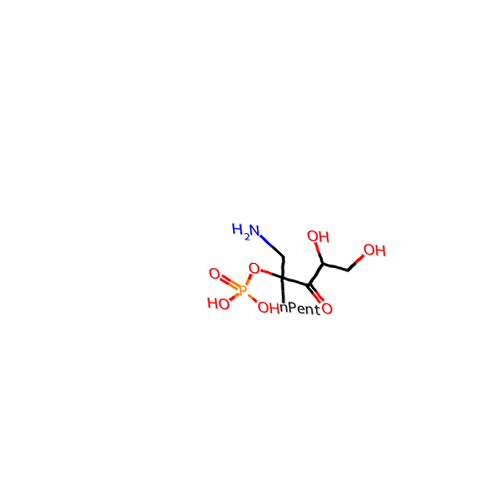 CCCCCC(CN)(OP(=O)(O)O)C(=O)C(O)CO